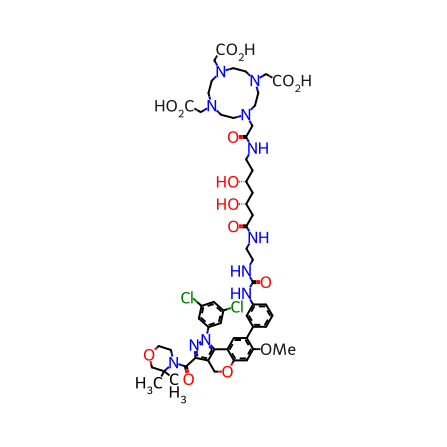 COc1cc2c(cc1-c1cccc(NC(=O)NCCNC(=O)C[C@H](O)C[C@H](O)CCNC(=O)CN3CCN(CC(=O)O)CCN(CC(=O)O)CCN(CC(=O)O)CC3)c1)-c1c(c(C(=O)N3CCOCC3(C)C)nn1-c1cc(Cl)cc(Cl)c1)CO2